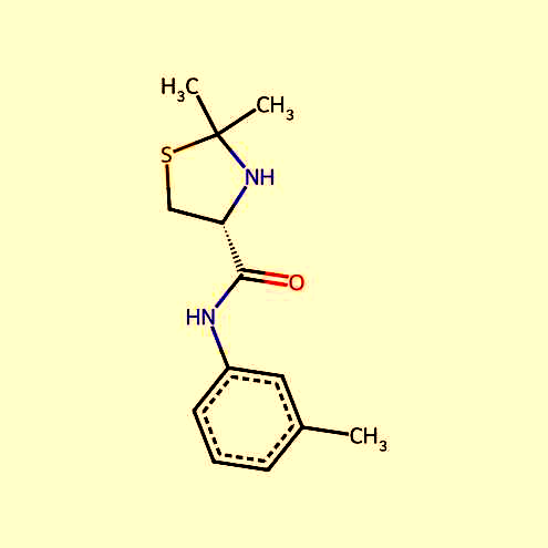 Cc1cccc(NC(=O)[C@@H]2CSC(C)(C)N2)c1